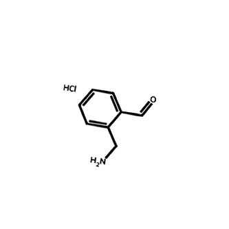 Cl.NCc1ccccc1C=O